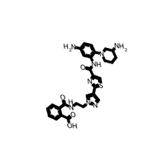 Nc1ccc(N2CCCC(N)C2)c(NC(=O)c2csc(-c3cnn(CCNC(=O)c4ccccc4C(=O)O)c3)n2)c1